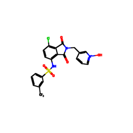 O=C1c2c(Cl)ccc(NS(=O)(=O)c3cccc(C(F)(F)F)c3)c2C(=O)N1Cc1ccc[n+](O)c1